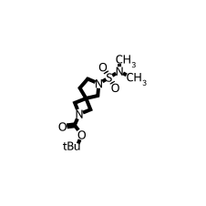 CN(C)S(=O)(=O)N1CCC2(CN(C(=O)OC(C)(C)C)C2)C1